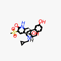 CS(=O)(=O)c1cc2c([nH]c1=O)C[C@]13CCN(CC4CC4)[C@H](Cc4ccc(O)cc41)[C@]3(O)C2